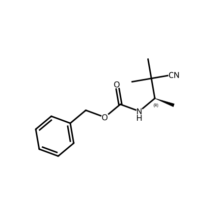 C[C@@H](NC(=O)OCc1ccccc1)C(C)(C)C#N